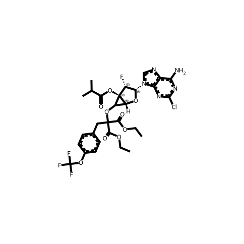 CCOC(=O)C(Cc1ccc(OC(F)(F)F)cc1)(OC1[C@H]2O[C@@H](n3cnc4c(N)nc(Cl)nc43)[C@@H](F)[C@@]12OC(=O)C(C)C)C(=O)OCC